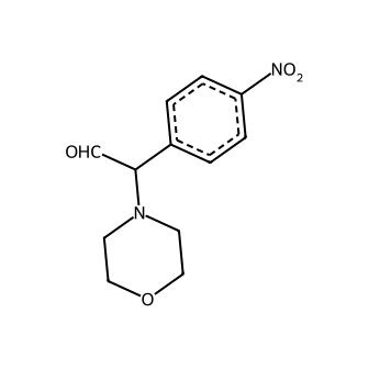 O=CC(c1ccc([N+](=O)[O-])cc1)N1CCOCC1